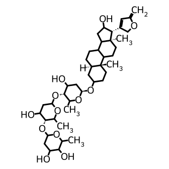 C=C1C=C([C@H]2C(O)CC3C4CC[C@@H]5CC(O[C@@H]6CC(O)[C@@H](OC7CC(O)[C@@H](OC8CC(O)C(O)C(C)O8)C(C)O7)C(C)O6)CC[C@@]5(C)C4CC[C@@]32C)CO1